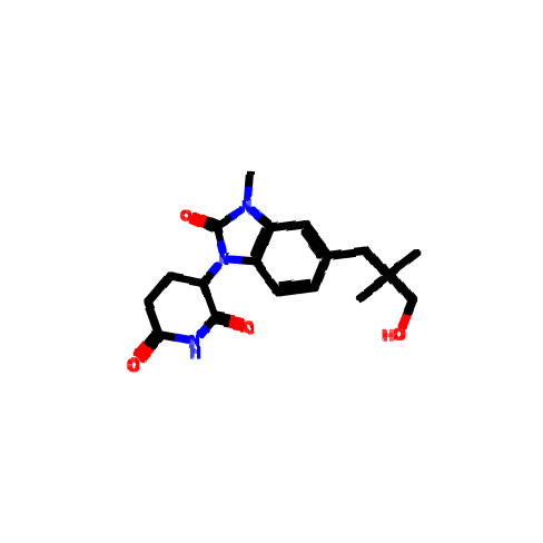 Cn1c(=O)n(C2CCC(=O)NC2=O)c2ccc(CC(C)(C)CO)cc21